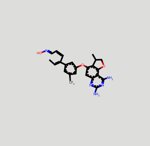 C\C=C(/C=C\C=N\O)c1cc(Oc2cc3nc(N)nc(N)c3c3c2C(C)CO3)cc(C(F)(F)F)c1